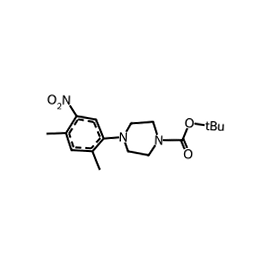 Cc1cc(C)c([N+](=O)[O-])cc1N1CCN(C(=O)OC(C)(C)C)CC1